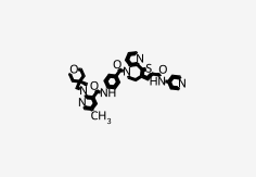 Cc1cnc(N2CC3(CCOCC3)C2)c(C(=O)Nc2ccc(C(=O)N3CCc4cc(C(=O)Nc5ccncc5)sc4-c4ncccc43)cc2)c1